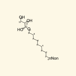 CCCCCCCCCCCCCCCCCCOC(O)C(O)CO